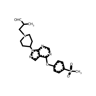 CC(C=O)CN1CCC(n2ncc3c(Oc4ccc(S(C)(=O)=O)cc4)ncnc32)CC1